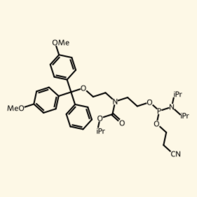 COc1ccc(C(OCCN(CCOP(OCCC#N)N(C(C)C)C(C)C)C(=O)OC(C)C)(c2ccccc2)c2ccc(OC)cc2)cc1